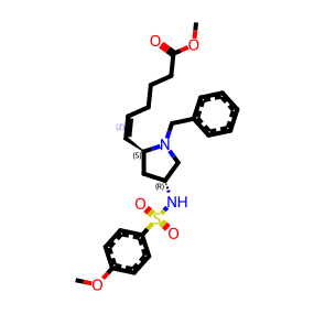 COC(=O)CCC/C=C\[C@@H]1C[C@@H](NS(=O)(=O)c2ccc(OC)cc2)CN1Cc1ccccc1